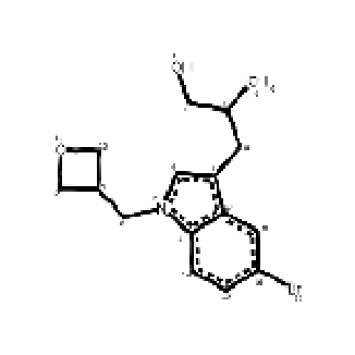 CC(CO)Cc1cn(CC2COC2)c2ccc(Br)cc12